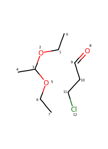 CCOC(C)OCC.O=CCCCl